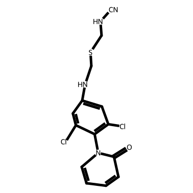 N#CNCSCNc1cc(Cl)c(-n2ccccc2=O)c(Cl)c1